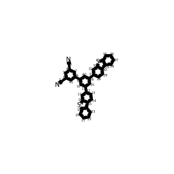 N#Cc1cc(C#N)cc(-c2cc(-c3ccc4c(c3)sc3ccccc34)cc(-c3ccc4c(c3)sc3ccccc34)c2)c1